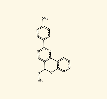 CCCCOC1Oc2ccccc2-c2nc(-c3ccc(OC)cc3)ncc21